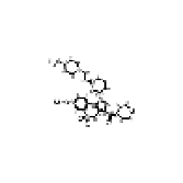 COc1ccc2c(c1)S(=O)(=O)Cc1c(C(=O)N3CCOCC3)nn([C@H]3CCCN(CCN4CCC(C)CC4)C3)c1-2